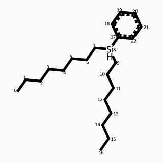 CCCCCCCC[SiH](CCCCCCCC)c1ccccc1